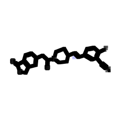 N#Cc1cc(/C=C/C2CCN(C(=O)Cc3ccc4c(c3)COC4=O)CC2)ccc1F